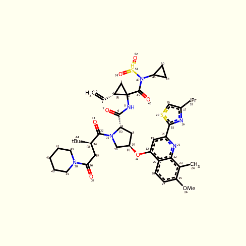 C=C[C@@H]1CC1(NC(=O)[C@@H]1C[C@@H](Oc2cc(-c3nc(C(C)C)cs3)nc3c(C)c(OC)ccc23)CN1C(=O)[C@@H](CC(=O)N1CCCCC1)C(C)(C)C)C(=O)N(C1CC1)[SH](=O)=O